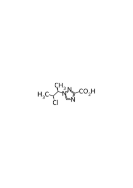 CC(Cl)[C@@H](C)n1cnc(C(=O)O)n1